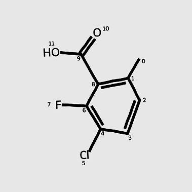 Cc1ccc(Cl)c(F)c1C(=O)O